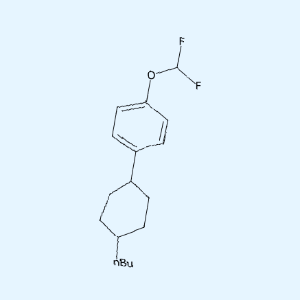 CCCCC1CCC(c2ccc(OC(F)F)cc2)CC1